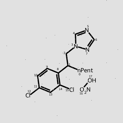 CCCCCC(Cn1cncn1)c1ccc(Cl)cc1Cl.O=[N+]([O-])O